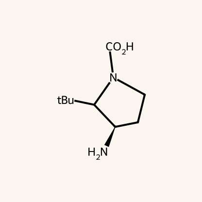 CC(C)(C)C1[C@H](N)CCN1C(=O)O